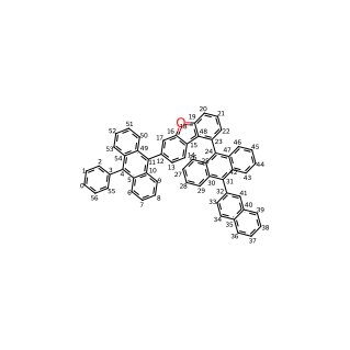 c1ccc(-c2c3ccccc3c(-c3ccc4c(c3)oc3cccc(-c5c6ccccc6c(-c6ccc7ccccc7c6)c6ccccc56)c34)c3ccccc23)cc1